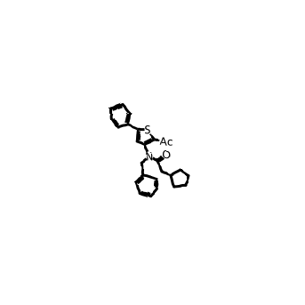 CC(=O)c1sc(-c2ccccc2)cc1N(Cc1ccccc1)C(=O)CC1CCCC1